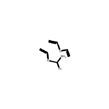 C=COC(N)CC.C=COC=C